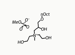 CCCCCCCCOCC(O)C[N+](C)(CCO)CCO.COS(=O)(=O)[O-]